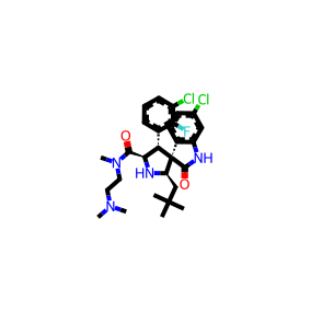 CN(C)CCN(C)C(=O)[C@@H]1N[C@H](CC(C)(C)C)[C@]2(C(=O)Nc3cc(Cl)ccc32)[C@H]1c1cccc(Cl)c1F